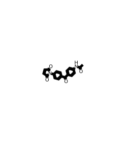 CC(=O)Nc1ccc(C(=O)c2ccc(N3C(=O)C=CC3=O)cc2)cc1